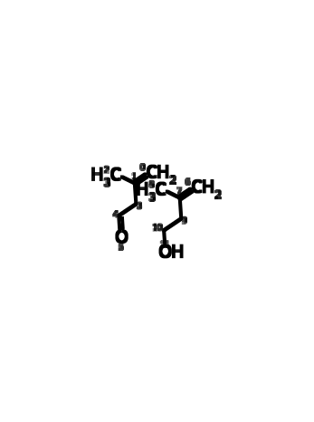 C=C(C)CC=O.C=C(C)CCO